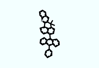 CC1(C)c2cc3ccccc3nc2-c2cccc3c(-c4c5ccccc5c(-c5ccccc5)c5ccccc45)ccc1c23